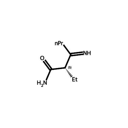 CCCC(=N)[C@H](CC)C(N)=O